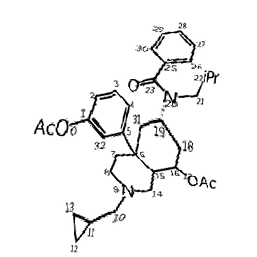 CC(=O)Oc1cccc(C23CCN(CC4CC4)CC2C(OC(C)=O)C[C@@H](N(CC(C)C)C(=O)c2ccccc2)C3)c1